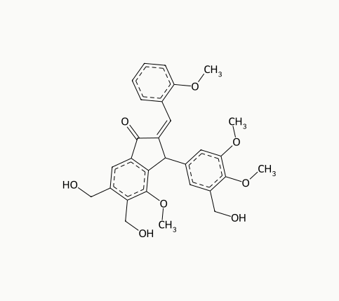 COc1ccccc1/C=C1\C(=O)c2cc(CO)c(CO)c(OC)c2C1c1cc(CO)c(OC)c(OC)c1